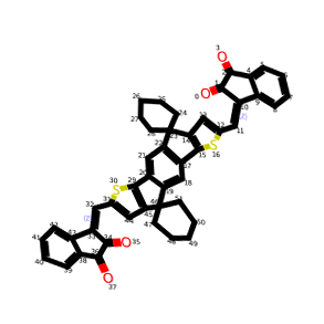 O=C1C(=O)c2ccccc2/C1=C/c1cc2c(s1)-c1cc3c(cc1C21CCCCC1)-c1sc(/C=C2\C(=O)C(=O)c4ccccc42)cc1C31CCCCC1